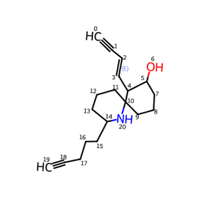 C#C/C=C/C1C(O)CCCC12CCCC(CCCC#C)N2